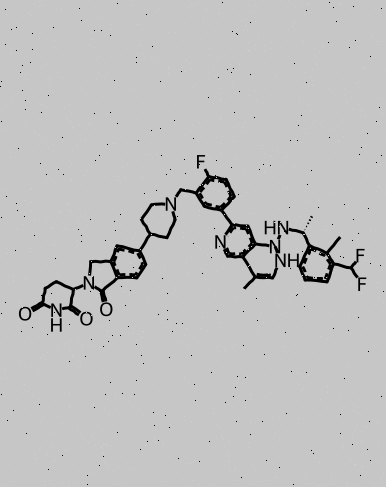 CC1=CNN(N[C@H](C)c2cccc(C(F)F)c2C)c2cc(-c3ccc(F)c(CN4CCC(c5ccc6c(c5)CN(C5CCC(=O)NC5=O)C6=O)CC4)c3)ncc21